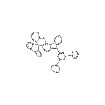 c1ccc(-c2cc(-c3ccccc3)nc(-n3c4ccccc4c4c5c(ccc43)C3(c4ccccc4O5)c4ccccc4-c4ccccc43)n2)cc1